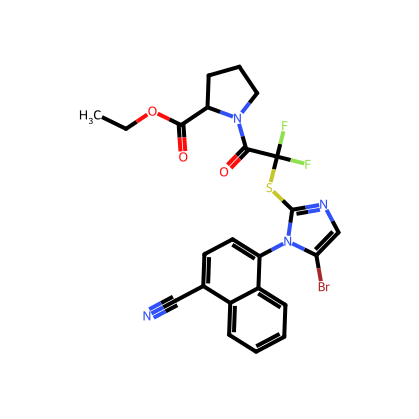 CCOC(=O)C1CCCN1C(=O)C(F)(F)Sc1ncc(Br)n1-c1ccc(C#N)c2ccccc12